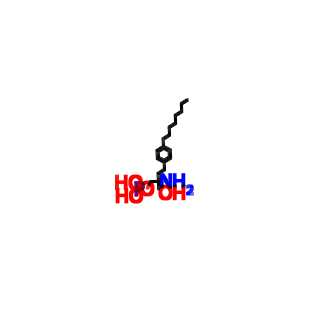 CCCCCCCCc1ccc(CCC(N)(CO)COP(O)O)cc1